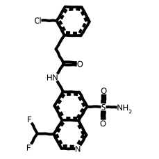 NS(=O)(=O)c1cc(NC(=O)Cc2ccccc2Cl)cc2c(C(F)F)cncc12